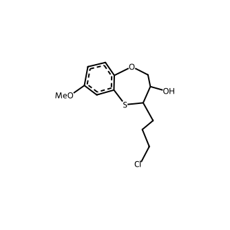 COc1ccc2c(c1)SC(CCCCl)C(O)CO2